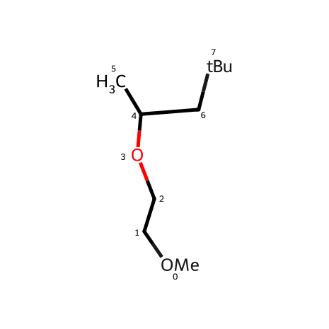 COCCOC(C)CC(C)(C)C